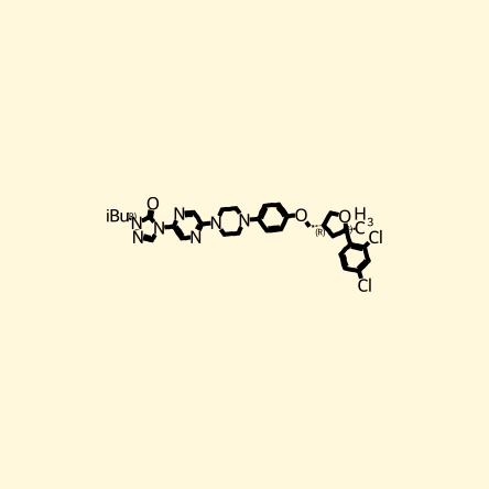 CC[C@@H](C)n1ncn(-c2cnc(N3CCN(c4ccc(OC[C@@H]5CO[C@@](C)(c6ccc(Cl)cc6Cl)C5)cc4)CC3)cn2)c1=O